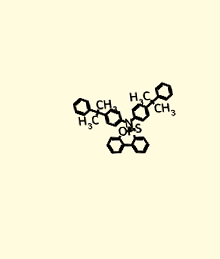 CC(C)(c1ccccc1)c1ccc(N(c2ccc(C(C)(C)c3ccccc3)cc2)P2(=S)Oc3ccccc3-c3ccccc32)cc1